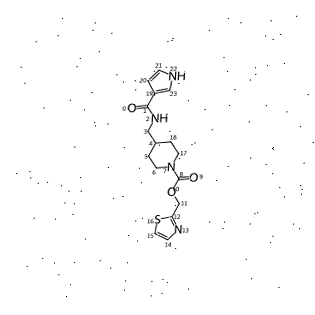 O=C(NCC1CCN(C(=O)OCc2nccs2)CC1)c1cc[nH]c1